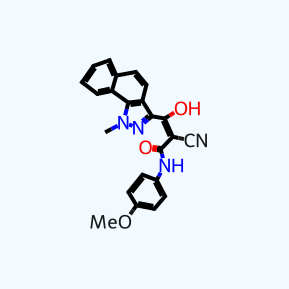 COc1ccc(NC(=O)C(C#N)=C(O)c2nn(C)c3c2ccc2ccccc23)cc1